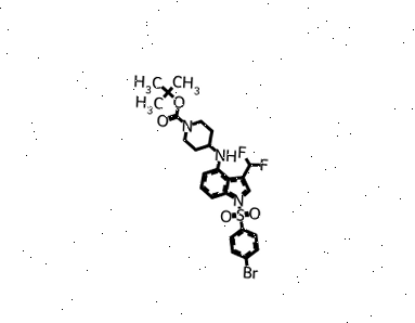 CC(C)(C)OC(=O)N1CCC(Nc2cccc3c2c(C(F)F)cn3S(=O)(=O)c2ccc(Br)cc2)CC1